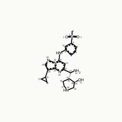 CS(=O)(=O)c1cccc(Nc2cc(C(N)[C@H]3CCNC[C@@H]3O)nc3c(C4CC4)cnn23)c1